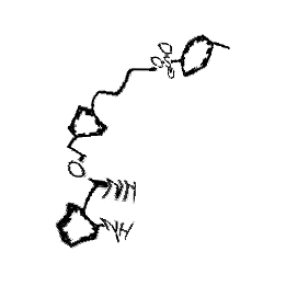 CNc1ccccc1C(=N)OCCc1ccc(CCCCOS(=O)(=O)c2ccc(C)cc2)cc1